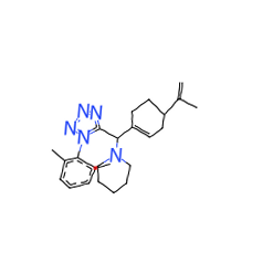 C=C(C)C1CC=C(C(c2nnnn2-c2c(C)cccc2C)N2CCCCC2)CC1